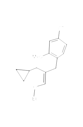 CCOC=C(Cc1ccc(C(F)(F)F)cc1SC)CC1CC1